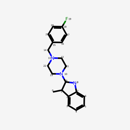 CC1c2ccccc2[N]C1N1CCN(Cc2ccc(F)cc2)CC1